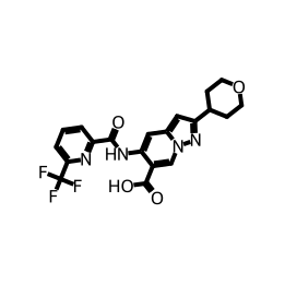 O=C(Nc1cc2cc(C3CCOCC3)nn2cc1C(=O)O)c1cccc(C(F)(F)F)n1